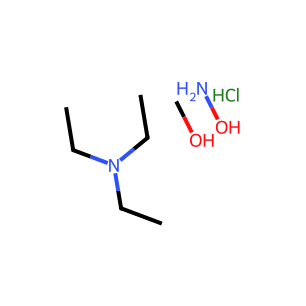 CCN(CC)CC.CO.Cl.NO